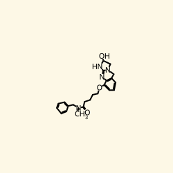 CN(Cc1ccccc1)C(=O)CCCCOc1cccc2c1N=C1NC(O)CN1C2